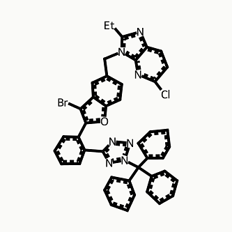 CCc1nc2ccc(Cl)nc2n1Cc1ccc2oc(-c3ccccc3-c3nnn(C(c4ccccc4)(c4ccccc4)c4ccccc4)n3)c(Br)c2c1